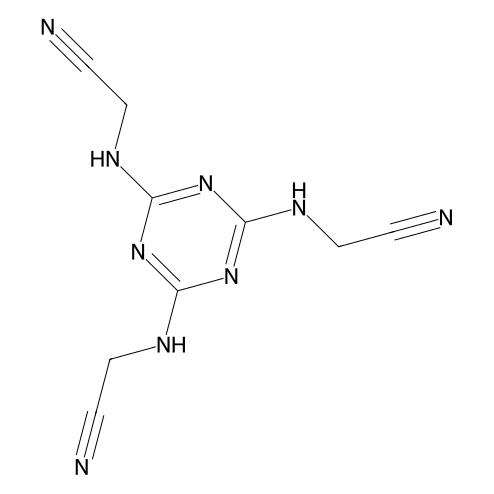 N#CCNc1nc(NCC#N)nc(NCC#N)n1